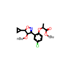 CCCCOC1C(c2cc(Cl)ccc2OC(C)C(=O)OC(C)(C)C)=NOC1C1CC1